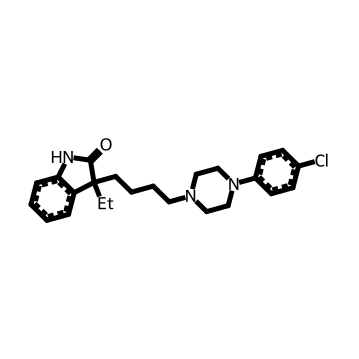 CCC1(CCCCN2CCN(c3ccc(Cl)cc3)CC2)C(=O)Nc2ccccc21